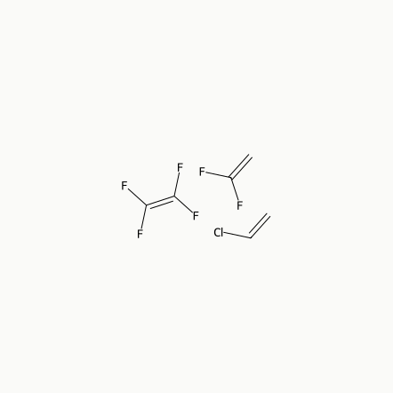 C=C(F)F.C=CCl.FC(F)=C(F)F